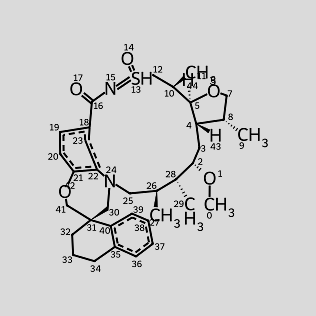 CO[C@H]1C[C@@H]2[C@H](OC[C@@H]2C)[C@H](C)C/[SH](=O)=N\C(=O)c2ccc3c(c2)N(C[C@H](C)[C@H]1C)C[C@@]1(CCCc2ccccc21)CO3